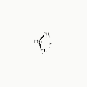 PNP.[Ir]